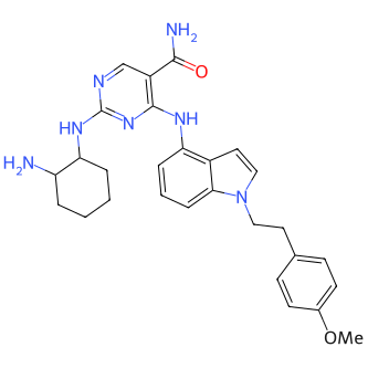 COc1ccc(CCn2ccc3c(Nc4nc(NC5CCCCC5N)ncc4C(N)=O)cccc32)cc1